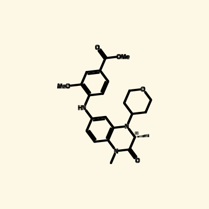 COC(=O)c1ccc(Nc2ccc3c(c2)N(C2CCOCC2)[C@H](C)C(=O)N3C)c(OC)c1